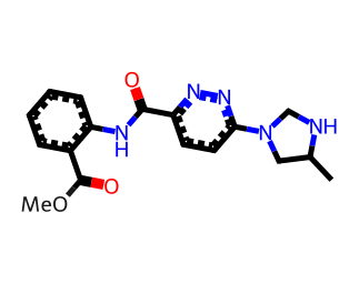 COC(=O)c1ccccc1NC(=O)c1ccc(N2CNC(C)C2)nn1